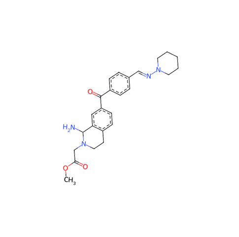 COC(=O)CN1CCc2ccc(C(=O)c3ccc(C=NN4CCCCC4)cc3)cc2C1N